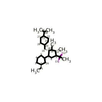 CC[C@H]1CCCC(C2CC(C(C)(I)I)[C@@H](C)C(C)[C@H]2CC2CCC(C(C)C)CC2)C1